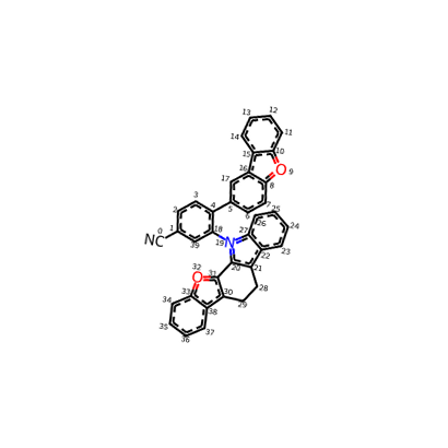 N#Cc1ccc(-c2ccc3oc4ccccc4c3c2)c(-n2c3c(c4ccccc42)CCc2c-3oc3ccccc23)c1